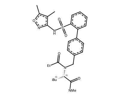 CCC(=O)N(Cc1ccc(-c2ccccc2S(=O)(=O)Nc2noc(C)c2C)cc1)[C@H](C(=O)NC)[C@@H](C)CC